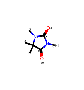 CCN1C(=O)N(C)C(C)(C)C1=O